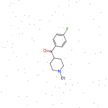 C[CH]N1CCC(C(=O)c2ccc(F)cc2)CC1